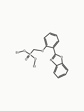 CCOP(=O)(COc1ccccc1-c1nc2ccccc2o1)OCC